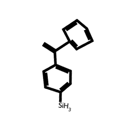 C=C(c1ccccc1)c1ccc([SiH3])cc1